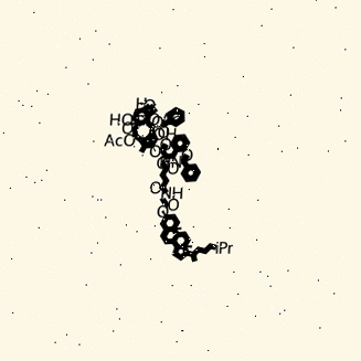 CC(=O)O[C@H]1C(=O)[C@@]2(C)[C@H]([C@H](OC(=O)c3ccccc3)[C@]3(O)C[C@H](OC(=O)[C@H](OC(=O)CCC(=O)NCC(=O)O[C@H]4CC[C@@]5(C)C(=CCC6C7CCC(C(C)CCCC(C)C)[C@@]7(C)CCC65)C4)[C@@H](NC(=O)c4ccccc4)c4ccccc4)C(C)=C1C3(C)C)[C@]1(OC(C)=O)CO[C@@H]1C[C@@H]2O